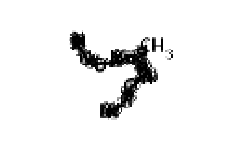 Cc1ccc(N(c2ccc(-c3cn(CCCCOc4ccc(OCCCCn5ccnn5)cc4)nn3)cc2)c2ccc(-c3cnnn3CCCCOc3ccc(OCCCCn4ccnn4)cc3)cc2)cc1